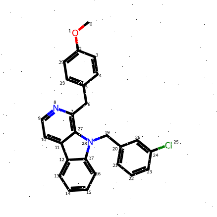 COc1ccc(Cc2nccc3c4ccccc4n(Cc4cccc(Cl)c4)c23)cc1